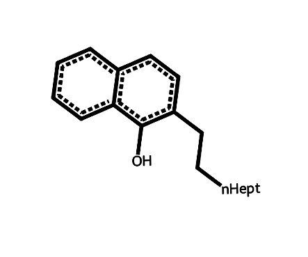 CCCCCCCCCc1ccc2ccccc2c1O